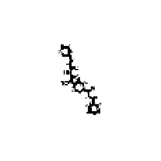 N#Cc1c(NC(=O)C=Cc2cccnc2)sc2c1CCN(C(=O)CCc1cccnc1)C2